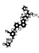 COc1nc(O[C@@H]2CCc3c(-c4cccc(-c5nc6cc(CNC[C@@H]7CCC(=O)N7)cc(C#N)c6o5)c4Cl)cccc32)c(C(F)(F)F)nc1CN1CCCC1